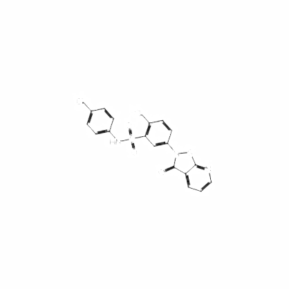 O=c1c2cccnc2sn1-c1ccc(Cl)c(S(=O)(=O)Nc2ccc(Cl)cc2)c1